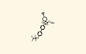 CC(C)(C)OC(=O)C1(S(=O)(=O)c2ccc(-c3ccc(OC(F)(F)C(F)F)cc3)cc2)CCN(C2CC2)CC1